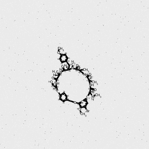 CN[C@H]1Cc2cc(Br)c(OC)c(c2)Oc2ccc(cc2)C[C@@H](C=O)NC(=O)[C@H](C)NC(=O)[C@H](Cc2ccc(OC)cc2)N(C)C(=O)[C@H](C)NC(=O)[C@@H](C)NC1=O